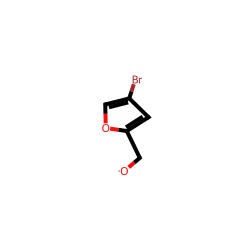 [O]Cc1cc(Br)co1